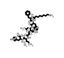 CC[C@H](C)[C@H](NC(=O)CC[C@@H]([C@H](CC(C)C)NC(=O)C(Cc1c[nH]cn1)NC(=O)C(Cc1ccccc1)NC(=O)CCCCCCCN)C(C)(C)O)C(=O)NC(Cc1c[nH]cn1)C(N)=O